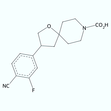 N#Cc1ccc(C2COC3(CCN(C(=O)O)CC3)C2)cc1F